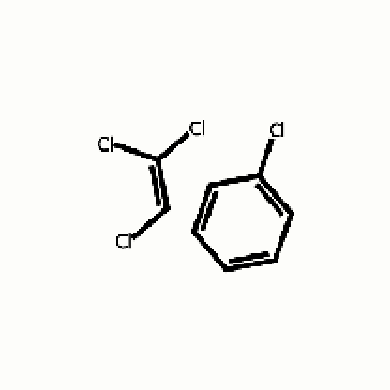 ClC=C(Cl)Cl.Clc1ccccc1